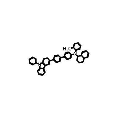 CC1CC=CC=C1N(c1ccc(-c2ccc(C3=Cc4c(n(-c5ccccc5)c5ccccc45)CC3)cc2)cc1)C1CCCC2C=CC=CC21